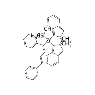 C=C1C=c2ccccc2=[C]1[Zr]([C](=CC=Cc1ccccc1)c1ccccc1)([C]1=c2ccccc2=CC1=C)[SiH](C)C